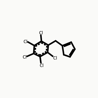 Clc1c(Cl)c(Cl)c(CC2=CC=CC2)c(Cl)c1Cl